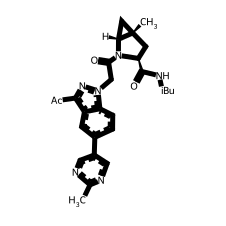 CCC(C)NC(=O)[C@@H]1C[C@@]2(C)C[C@H]2N1C(=O)Cn1nc(C(C)=O)c2cc(-c3cnc(C)nc3)ccc21